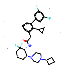 O=C(Cc1cccc(-c2cc(F)cc(F)c2)c1C1CC1)N[C@@H]1[C@@H](N2CCN(C3CCC3)CC2)CCCC1(F)F